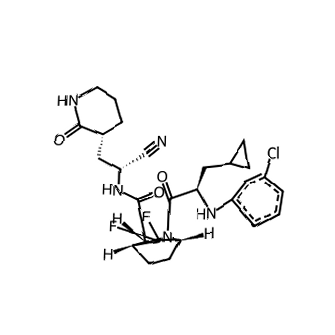 N#C[C@@H](C[C@H]1CCCNC1=O)NC(=O)[C@H]1[C@H]2CC[C@H](CC2(F)F)N1C(=O)[C@@H](CC1CC1)Nc1cccc(Cl)c1